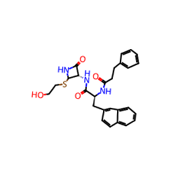 O=C(CCc1ccccc1)N[C@@H](Cc1ccc2ccccc2c1)C(=O)N[C@H]1C(=O)NC1SCCO